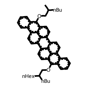 CCCCCCC(CCCC)COc1c2ccccc2c2ccc3c4ccc5c(OCC(C)CCCC)c6ccccc6c6ccc(c7ccc1c2c73)c4c56